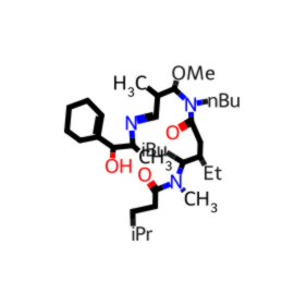 CCCCN(C(=O)CC(CC)C(C(C)CC)N(C)C(=O)CCC(C)C)C(OC)C(C)/C=N/C(C)C(O)C1=CCCCC1